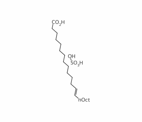 CCCCCCCCC=CCCCCCCCCCCCC(=O)O.O=S(=O)(O)O